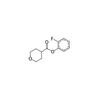 O=C(Oc1ccccc1F)C1CCOCC1